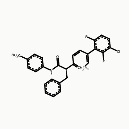 C=C(/C=C\C(=C/C)c1c(F)ccc(Cl)c1F)[C@@H](Cc1ccccc1)C(=O)Nc1ccc(C(=O)O)cc1